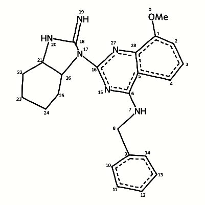 COc1cccc2c(NCc3ccccc3)nc(N3C(=N)NC4CCCCC43)nc12